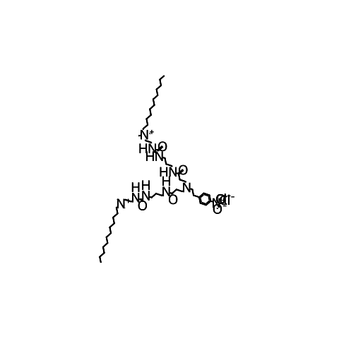 CCCCCCCCCCCC[N+](C)(C)CCNC(=O)NCCCNC(=O)CCN(CCC(=O)NCCCNC(=O)NCC[N+](C)(C)CCCCCCCCCCCC)CCc1ccc([N+](=O)[O-])cc1.[Cl-].[Cl-]